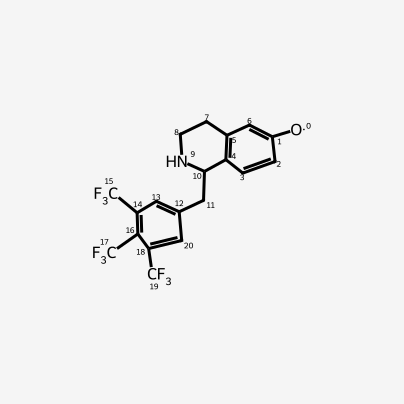 [O]c1ccc2c(c1)CCNC2Cc1cc(C(F)(F)F)c(C(F)(F)F)c(C(F)(F)F)c1